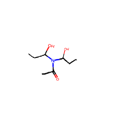 CCC(O)N(C(C)=O)C(O)CC